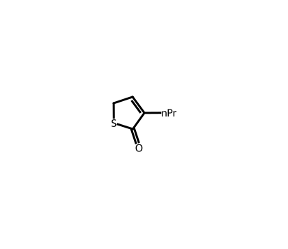 CCCC1=CCSC1=O